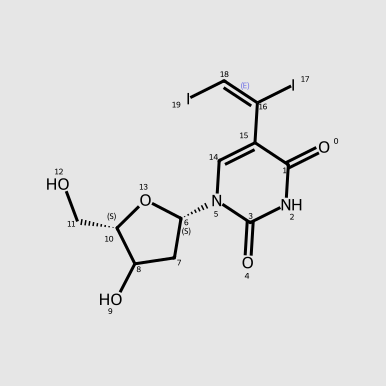 O=c1[nH]c(=O)n([C@@H]2CC(O)[C@H](CO)O2)cc1/C(I)=C\I